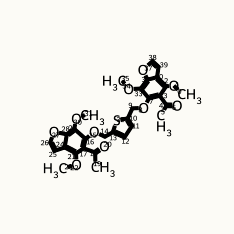 COc1c(C(C)=O)c(OCc2ccc(COc3c(C(C)=O)c(OC)c4ccoc4c3OC)s2)c(OC)c2occc12